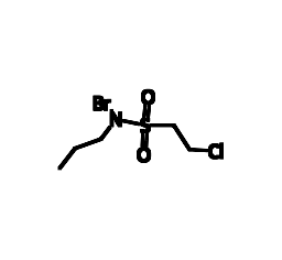 CCCN(Br)S(=O)(=O)CCCl